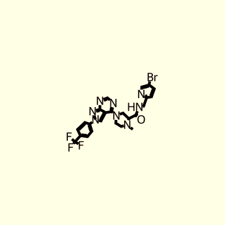 CN1CCN(c2ncnc3nn(-c4ccc(C(F)(F)F)cc4)cc23)CC1C(=O)NCc1ccc(Br)cn1